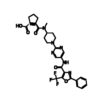 CN(C(=O)[C@@H]1CCC[C@H]1C(=O)O)C1CCN(c2ncc(NC(=O)c3nc(-c4ccccc4)oc3C(F)(F)F)cn2)CC1